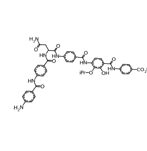 CC(C)Oc1c(NC(=O)c2ccc(NC(=O)C(CC(N)=O)NC(=O)c3ccc(NC(=O)c4ccc(N)cc4)cc3)cc2)ccc(C(=O)Nc2ccc(C(=O)O)cc2)c1O